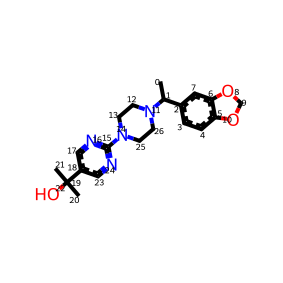 CC(c1ccc2c(c1)OCO2)N1CCN(c2ncc(C(C)(C)O)cn2)CC1